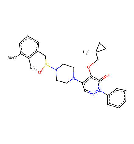 COc1cccc(C[S+]([O-])N2CCN(c3cnn(-c4ccccc4)c(=O)c3OCC3(C)CC3)CC2)c1[N+](=O)[O-]